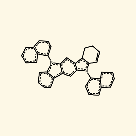 C1=Cc2c(c3cc4c(cc3n2-c2cccc3ccccc23)c2ccccc2n4-c2cccc3ccccc23)CC1